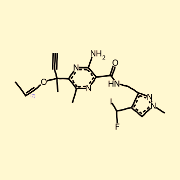 C#CC(C)(O/C=C\C)c1nc(N)c(C(=O)NCc2nn(C)cc2C(F)I)nc1C